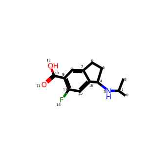 CC(C)NC1CCc2cc(C(=O)O)c(F)cc21